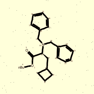 CCCCOC(=O)[C@H](CC1CCC1)N(Cc1ccccc1)Cc1ccccc1